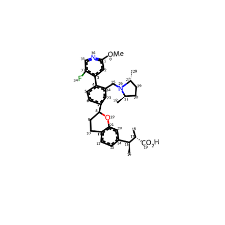 COc1cc(-c2ccc(C3CCc4ccc([C@H](C)[C@H](C)C(=O)O)cc4O3)cc2CN2[C@H](C)CC[C@H]2C)c(F)cn1